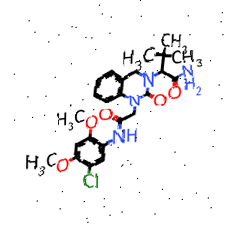 COc1cc(OC)c(NC(=O)CN2C(=O)N(C(C(N)=O)C(C)(C)C)Cc3ccccc32)cc1Cl